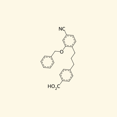 N#Cc1ccc(CCCc2ccc(C(=O)O)cc2)c(OCc2ccccc2)c1